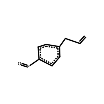 C=CCc1ccc(P=O)cc1